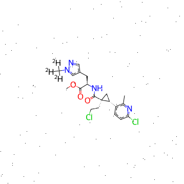 [2H]C([2H])([2H])n1cc(C[C@@H](NC(=O)[C@@]2(CCCl)C[C@@H]2c2ccc(Cl)nc2C)C(=O)OC)cn1